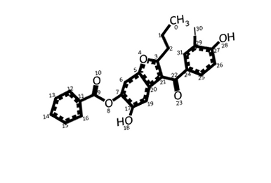 CCCc1oc2cc(OC(=O)c3ccccc3)c(O)cc2c1C(=O)c1ccc(O)c(I)c1